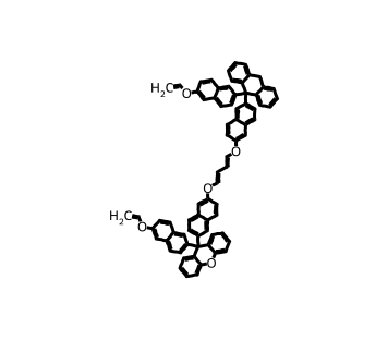 C=COc1ccc2cc(C3(c4ccc5cc(O/C=C/C=C/Oc6ccc7cc(C8(c9ccc%10cc(OC=C)ccc%10c9)c9ccccc9Oc9ccccc98)ccc7c6)ccc5c4)c4ccccc4Cc4ccccc43)ccc2c1